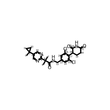 CC1(c2cnc(C(C)(C)C(=O)NCc3cc(Cl)c(C4CCC(=O)NC4=O)c(Cl)c3)nc2)CC1